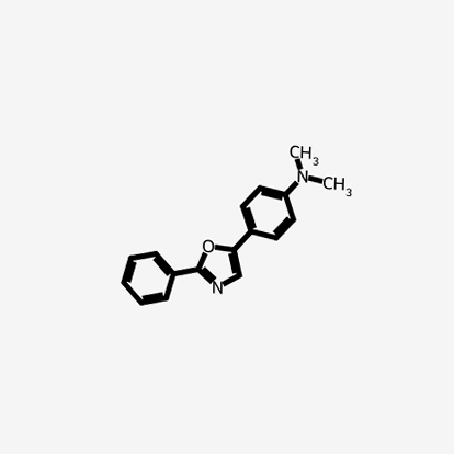 CN(C)c1ccc(-c2cnc(-c3ccccc3)o2)cc1